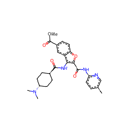 COC(=O)c1ccc2oc(C(=O)Nc3ccc(C)cn3)c(NC(=O)[C@H]3CC[C@H](N(C)C)CC3)c2c1